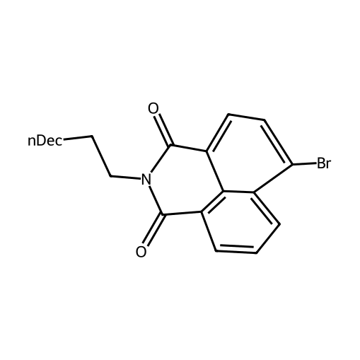 CCCCCCCCCCCCN1C(=O)c2cccc3c(Br)ccc(c23)C1=O